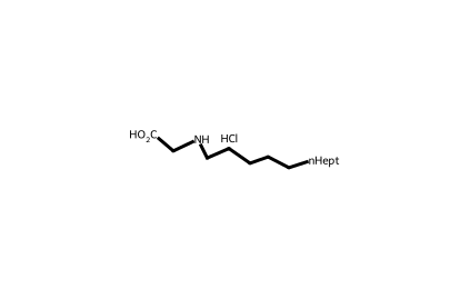 CCCCCCCCCCCCNCC(=O)O.Cl